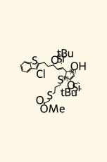 COC(=O)CSCCCS[C@H]1C(O[Si](C)(C)C(C)(C)C)=C[C@@H](O)C1C=CC(CCc1sc2ccccc2c1Cl)O[Si](C)(C)C(C)(C)C